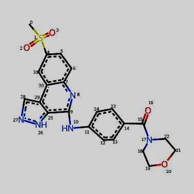 CS(=O)(=O)c1ccc2nc(Nc3ccc(C(=O)N4CCOCC4)cc3)c3[nH]ncc3c2c1